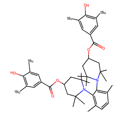 [CH2]c1ccc([CH2])c(N2C(C)(C)CC(OC(=O)c3cc(C(C)(C)C)c(O)c(C(C)(C)C)c3)CC2(C)C)c1N1C(C)(C)CC(OC(=O)c2cc(C(C)(C)C)c(O)c(C(C)(C)C)c2)CC1(C)C